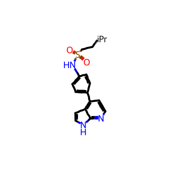 CC(C)CCS(=O)(=O)Nc1ccc(-c2ccnc3[nH]ccc23)cc1